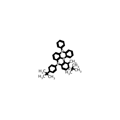 CC1C2=C(C=C[C@H]1C(C)(C)C)N(C1=CCC(C(C)(C)C)C=C1)c1cccc3c1B2c1ccccc1N3c1ccccc1